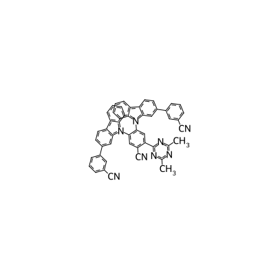 Cc1nc(C)nc(-c2cc(-n3c4ccccc4c4ccc(-c5cccc(C#N)c5)cc43)c(-n3c4ccccc4c4ccc(-c5cccc(C#N)c5)cc43)cc2C#N)n1